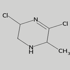 CC1NCC(Cl)N=C1Cl